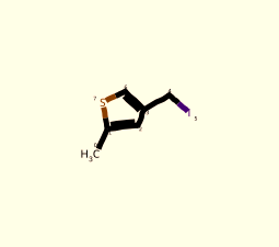 Cc1cc(CI)cs1